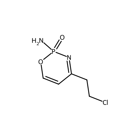 NP1(=O)N=C(CCCl)C=CO1